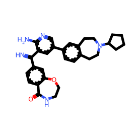 N=C(c1ccc2c(c1)OCCNC2=O)c1cc(-c2ccc3c(c2)CCN(C2CCCC2)CC3)cnc1N